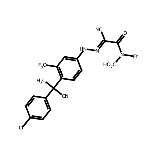 CCN(C(=O)O)C(=O)/C(C#N)=N/Nc1ccc(C(C)(C#N)c2ccc(Cl)cc2)c(C(F)(F)F)c1